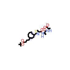 C=C(NC(=O)c1csc(C2=C/C=C(/CCCC(=O)OC(C)(C)C)CCC\C=C\2)n1)C(=O)NC(=C)C(=O)OC